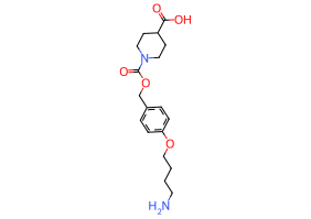 NCCCCOc1ccc(COC(=O)N2CCC(C(=O)O)CC2)cc1